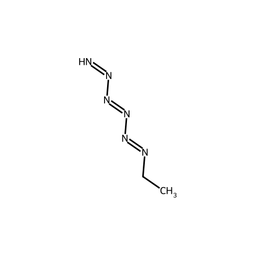 CCN=NN=NN=N